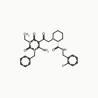 CCn1c(=O)c(C(=O)CN2CCCC[C@@H]2C(=O)NCc2ccccc2F)c(N)n(Cc2ccccc2)c1=O